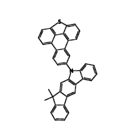 CC1(C)c2ccccc2-c2cc3c4ccccc4n(-c4ccc5c(c4)c4cccc6sc7cccc5c7c64)c3cc21